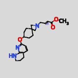 COC(=O)/C=C/CN1CC2(CCC(Oc3ccc4c(n3)NCCC4)CC2)C1